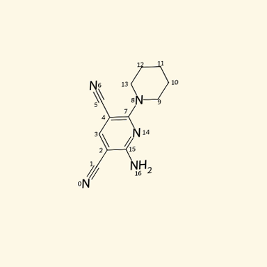 N#Cc1cc(C#N)c(N2CCCCC2)nc1N